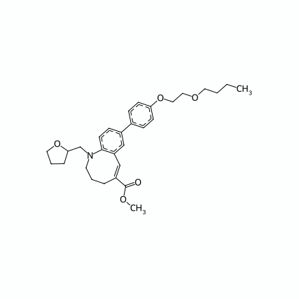 CCCCOCCOc1ccc(-c2ccc3c(c2)/C=C(/C(=O)OC)CCCN3CC2CCCO2)cc1